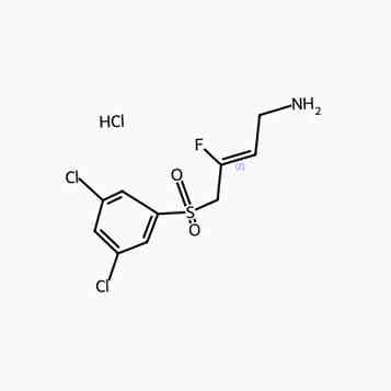 Cl.NC/C=C(\F)CS(=O)(=O)c1cc(Cl)cc(Cl)c1